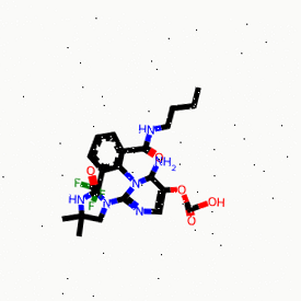 CCCCNC(=O)c1cccc(C(F)(F)F)c1N1C(N2CC(C)(C)NC2=O)=NC=C(OC(=O)O)C1N